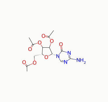 CC(=O)OC[C@H]1O[C@@H](n2cnc(N)nc2=O)C(OC(C)=O)C1OC(C)=O